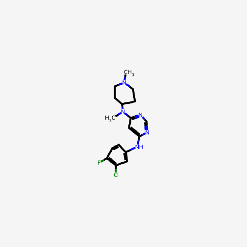 CN1CCC(N(C)c2cc(Nc3ccc(F)c(Cl)c3)ncn2)CC1